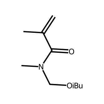 C=C(C)C(=O)N(C)COCC(C)C